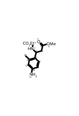 CCOC(=O)NC(CC(=O)OC)c1ccc(N)cc1C